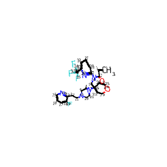 CCC(=O)N(CC1(N2CCN(CCc3ncccc3F)CC2)CCOCC1)c1cccc(C(F)(F)F)n1